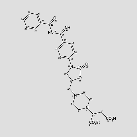 CCOC(=O)C(CC(=O)O)N1CCN(CC2CN(c3ccc(C(=N)NC(=O)c4ccccc4)cc3)C(=O)O2)CC1